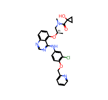 C[C@H](CN(C)C(=O)C1(O)CC1)Oc1cccc2ncnc(Nc3ccc(OCc4ccccn4)c(Cl)c3)c12